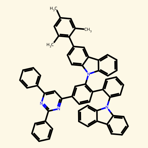 Cc1cc(C)c(-c2ccc3c(c2)c2ccccc2n3-c2cc(-c3cc(-c4ccccc4)nc(-c4ccccc4)n3)ccc2-c2ccccc2-n2c3ccccc3c3ccccc32)c(C)c1